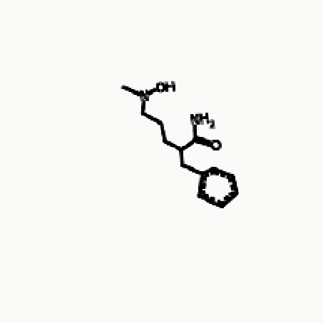 CN(O)CCCC(Cc1ccccc1)C(N)=O